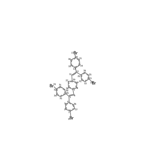 Brc1ccc(C(=Cc2ccc(C=C(c3ccc(Br)cc3)c3ccc(Br)cc3)cc2)c2ccc(Br)cc2)cc1